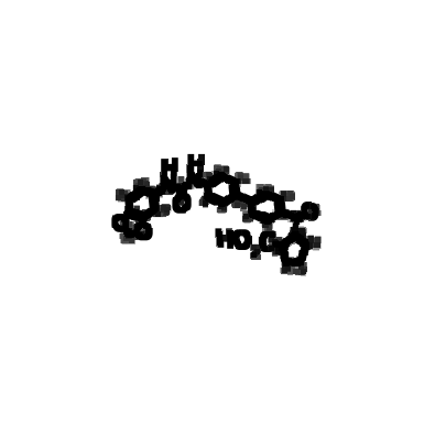 O=C(Nc1ccc(-c2ccc(C(=O)[C@@H]3CCC[C@H]3C(=O)O)cc2)cc1)Nc1ccc2c(c1)OCO2